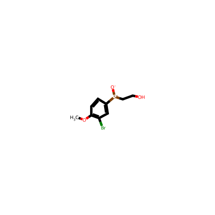 COc1ccc([S+]([O-])CCO)cc1Br